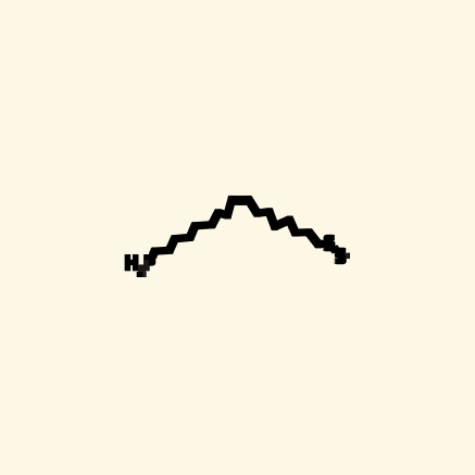 PCCCCCCCC/C=C\CCCCCCCS[S]